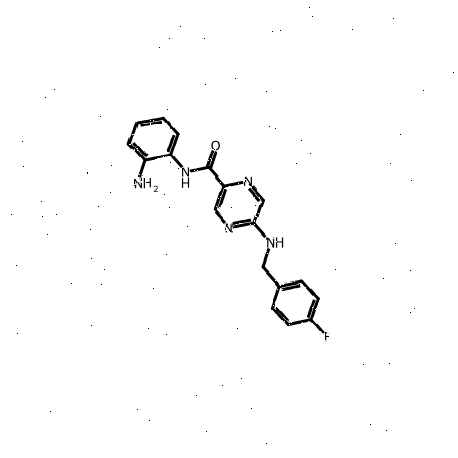 Nc1ccccc1NC(=O)c1cnc(NCc2ccc(F)cc2)cn1